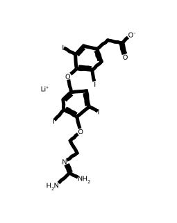 NC(N)=NCCOc1c(I)cc(Oc2c(I)cc(CC(=O)[O-])cc2I)cc1I.[Li+]